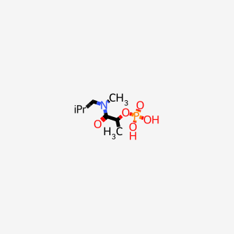 CC(C)CN(C)C(=O)C(C)OP(=O)(O)O